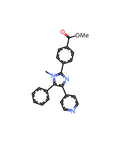 COC(=O)c1ccc(-c2nc(-c3ccncc3)c(-c3ccccc3)n2C)cc1